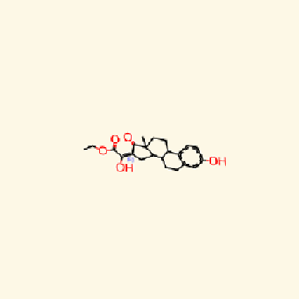 CCOC(=O)/C(O)=C1/CC2C3CCc4cc(O)ccc4C3CCC2(C)C1=O